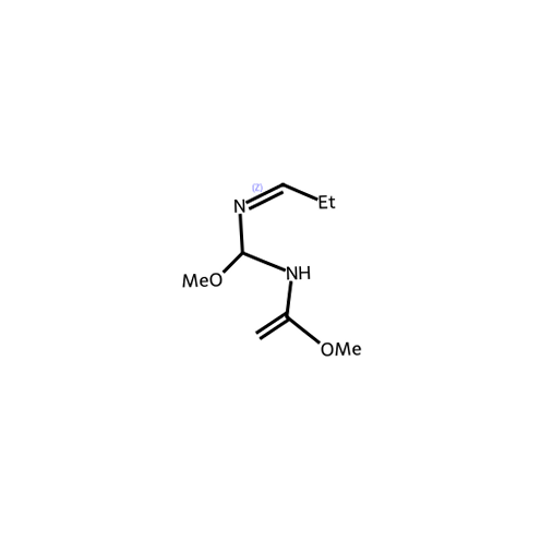 C=C(NC(/N=C\CC)OC)OC